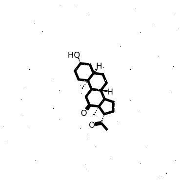 CC(=O)[C@H]1CCC2[C@H]3CC[C@H]4C[C@@H](O)CC[C@]4(C)C3CC(=O)[C@@]21C